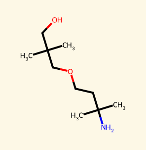 CC(C)(N)CCOCC(C)(C)CO